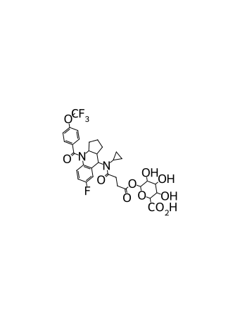 O=C(CCC(=O)N(C1CC1)C1c2cc(F)ccc2N(C(=O)c2ccc(OC(F)(F)F)cc2)C2CCCC21)OC1OC(C(=O)O)C(O)C(O)C1O